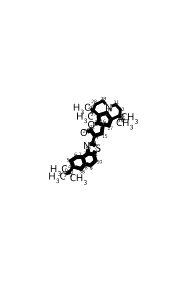 CC(C)(C)c1ccc2c(ccc3sc(-c4cc5cc6c7c(c5oc4=O)C(C)(C)CCN7CCC6(C)C)nc32)c1